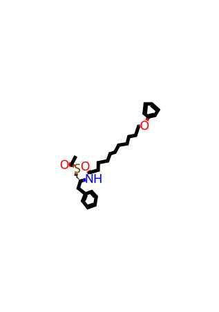 CC(=O)SC[C@@H](Cc1ccccc1)NC(=O)CCCCCCCCCCOc1ccccc1